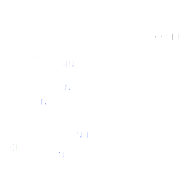 CCOC(=O)CCCCCCNc1nc(-c2c[nH]c3c2=CC(Cl)CN=3)ncc1F